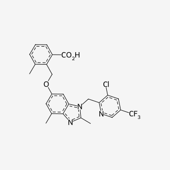 Cc1cccc(C(=O)O)c1COc1cc(C)c2nc(C)n(Cc3ncc(C(F)(F)F)cc3Cl)c2c1